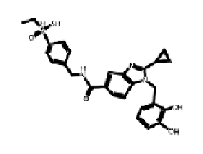 CC[SH](=O)(S)c1ccc(CNC(=O)c2ccc3c(c2)nc(C2CC2)n3Cc2cccc(O)c2O)cc1